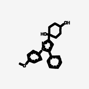 COc1ccc(-n2nc(C3(O)CCC(O)CC3)cc2-c2ccccc2)cc1